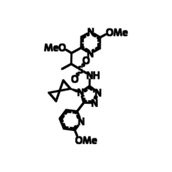 COc1cnc(C(OC)C(C)S(=O)(=O)Nc2nnc(-c3cccc(OC)n3)n2[C@@H]2CC23CC3)cn1